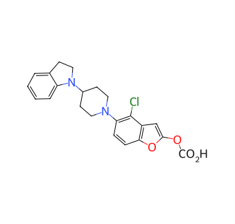 O=C(O)Oc1cc2c(Cl)c(N3CCC(N4CCc5ccccc54)CC3)ccc2o1